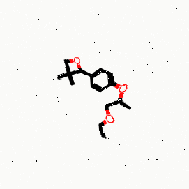 CCOCC(C)Oc1ccc(C2OCC2(C)C)cc1